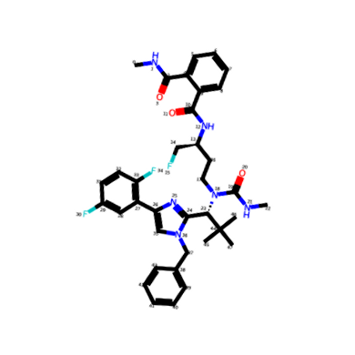 CNC(=O)c1ccccc1C(=O)N[C@H](CF)CCN(C(=O)NC)[C@@H](c1nc(-c2cc(F)ccc2F)cn1Cc1ccccc1)C(C)(C)C